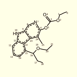 CCOC(=O)Oc1ncc2[nH]c3cccc(C(CC)OCC)c3c2c1C